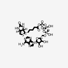 Nc1ncnc2c1ncn2[C@@H]1O[C@H](COP(=O)(O)OP(=O)(O)OP(=O)(O)OC(=O)CCCC[C@@H]2SC[C@@H]3NC(=O)N[C@@H]32)C(O)C1O